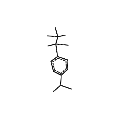 CC(C)c1ccc(C(C)(C)C(C)(C)C)cc1